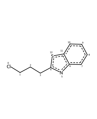 ClCCCc1nc2ccccc2s1